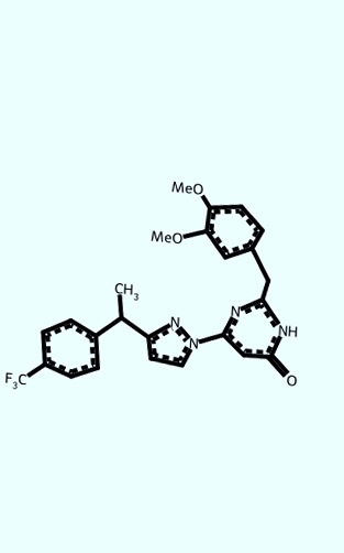 COc1ccc(Cc2nc(-n3ccc(C(C)c4ccc(C(F)(F)F)cc4)n3)cc(=O)[nH]2)cc1OC